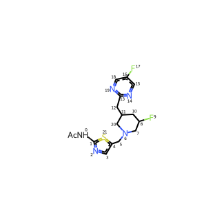 CC(=O)Nc1ncc(CN2CC(F)CC(Cc3ncc(F)cn3)C2)s1